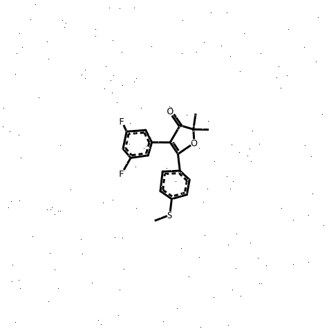 CSc1ccc(C2=C(c3cc(F)cc(F)c3)C(=O)C(C)(C)O2)cc1